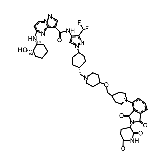 O=C1CCC(N2C(=O)c3cccc(N4CCC(COC5CCN(C[C@H]6CC[C@H](n7cc(NC(=O)c8cnn9ccc(N[C@@H]%10CCCC[C@@H]%10O)nc89)c(C(F)F)n7)CC6)CC5)CC4)c3C2=O)C(=O)N1